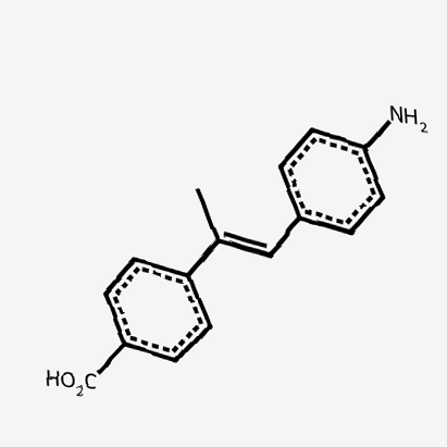 C/C(=C\c1ccc(N)cc1)c1ccc(C(=O)O)cc1